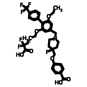 CCOc1cc(CN2CCC(F)(COc3ccc(C(=O)O)cc3)CC2)cc(OCC)c1-c1ccc(C(F)(F)F)cc1.O=C(O)C(F)(F)F